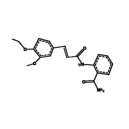 CCOc1ccc(C=CC(=O)Nc2ccccc2C(N)=O)cc1OC